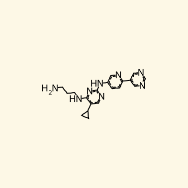 NCCCNc1nc(Nc2ccc(-c3cncnc3)nc2)ncc1C1CC1